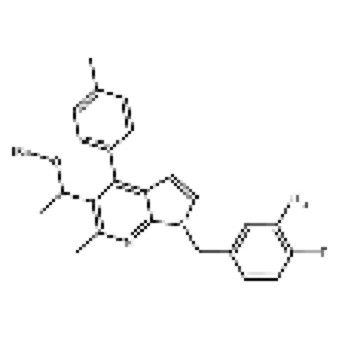 Cc1ccc(-c2c(C(C)OC(C)(C)C)c(C)nc3c2ccn3Cc2ccc(F)c(C(F)(F)F)c2)cc1